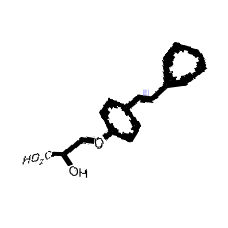 O=C(O)C(O)COc1ccc(/C=C/c2ccccc2)cc1